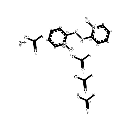 CC(=O)[O-].CC(=O)[O-].CC(=O)[O-].CC(=O)[O-].[O-][n+]1ccccc1SSc1cccc[n+]1[O-].[Zr+4]